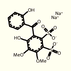 COc1c(O)c(C(=O)c2ccccc2O)c(S(=O)(=O)[O-])c(S(=O)(=O)[O-])c1OC.[Na+].[Na+]